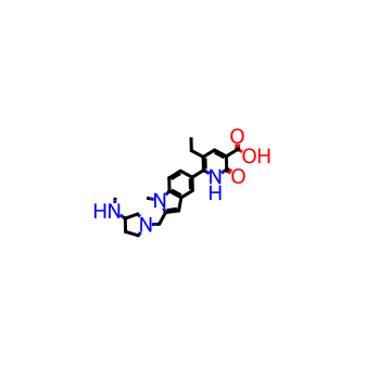 CCc1cc(C(=O)O)c(=O)[nH]c1-c1ccc2c(c1)cc(CN1CCC(NC)C1)n2C